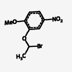 COc1ccc([N+](=O)[O-])cc1OC(C)Br